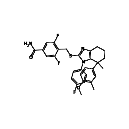 COc1ccc(C2(C)CCCc3nc(SCc4c(F)cc(C(N)=O)cc4F)n(-c4ccc(F)cc4)c32)cc1C